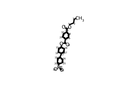 CCCCOC(=O)c1ccc(C(=O)Oc2ccc(-c3ccc([N+](=O)[O-])cc3)cc2)cc1